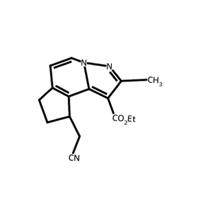 CCOC(=O)c1c(C)nn2ccc3c(c12)C(CC#N)CC3